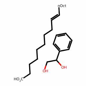 CCCCCCCCC=CCCCCCCCC(=O)O.OCC(O)c1ccccc1